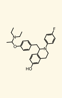 CCN(CC)C(C)Oc1ccc(CC2c3ccc(O)cc3CCN2c2ccc(F)cc2)cc1